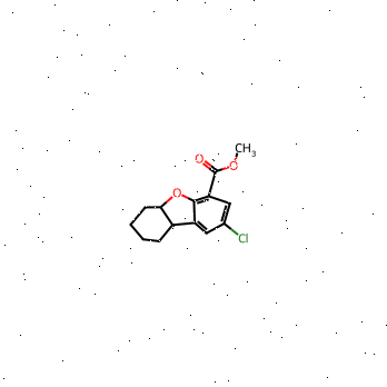 COC(=O)c1cc(Cl)cc2c1OC1CCCCC21